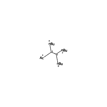 CCCC[C](CCCC)C(CCCC)C(C)=O